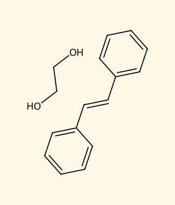 C(=Cc1ccccc1)c1ccccc1.OCCO